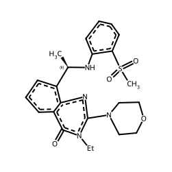 CCn1c(N2CCOCC2)nc2c([C@@H](C)Nc3ccccc3S(C)(=O)=O)cccc2c1=O